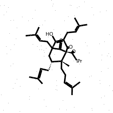 CC(C)=CCC[C@]1(C)[C@H](CC=C(C)C)CC2(CC=C(C)C)C(=O)[C@]1(C(=O)C(C)C)C(=O)C(CC=C(C)C)=C2O